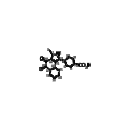 Cc1nn(-c2ccc(C(=O)O)cc2)c2c1C(=O)C(=O)c1ccccc1-2